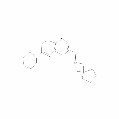 CC1(NC(=O)Nc2ccc3c(n2)C=C(N2CCOCC2)CN3)CCCC1